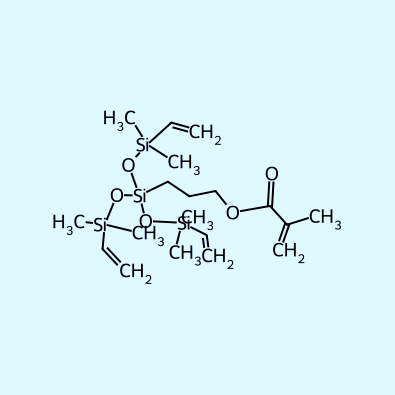 C=C[Si](C)(C)O[Si](CCCOC(=O)C(=C)C)(O[Si](C)(C)C=C)O[Si](C)(C)C=C